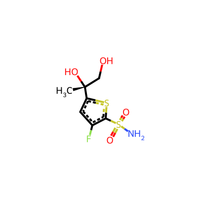 C[C@@](O)(CO)c1cc(F)c(S(N)(=O)=O)s1